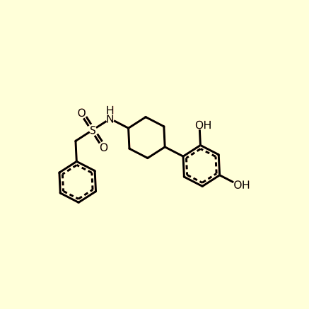 O=S(=O)(Cc1ccccc1)NC1CCC(c2ccc(O)cc2O)CC1